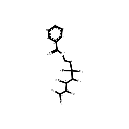 O=C(SCCC(F)(F)C(F)C(F)C(F)C(F)F)c1ccccc1